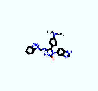 CN(C)c1ccc(C2/C(=N/Cn3nnc4ccccc43)NC(=O)N2c2ccc3[nH]cnc3c2)cc1